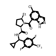 CC[C@@H]1CC[C@H](C(=O)NC(c2cc(F)c(C(F)(F)F)cc2F)C2CC2)N1C(=O)c1cc(Cl)cc2cn[nH]c12